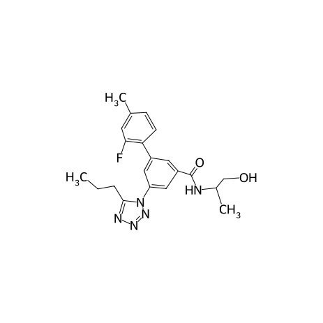 CCCc1nnnn1-c1cc(C(=O)NC(C)CO)cc(-c2ccc(C)cc2F)c1